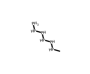 CPPPPPP